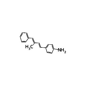 CC(/C=C/c1ccc(N)cc1)=C\c1ccccc1